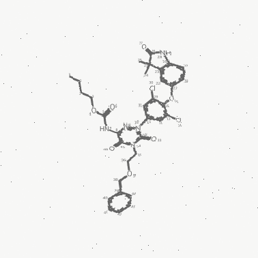 CCCCOC(=O)Nc1nn(-c2cc(Cl)c(Oc3ccc4c(c3)C(C)(C)C(=O)N4)c(Cl)c2)c(=O)n(CCOCc2ccccc2)c1=O